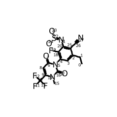 CCc1cc(-n2c(=O)cc(C(F)(F)F)n(C)c2=O)c(F)c(N=S(=O)=O)c1C#N